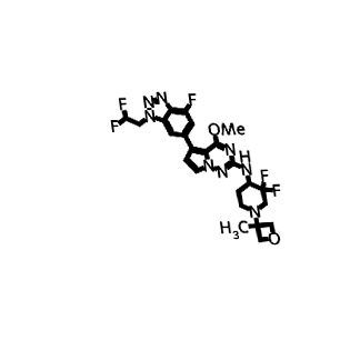 COc1nc(NC2CCN(C3(C)COC3)CC2(F)F)nn2ccc(-c3cc(F)c4nnn(CC(F)F)c4c3)c12